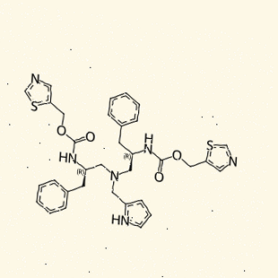 O=C(N[C@H](Cc1ccccc1)CN(Cc1ccc[nH]1)C[C@@H](Cc1ccccc1)NC(=O)OCc1cncs1)OCc1cncs1